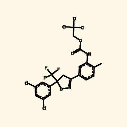 Cc1ccc(C2=NOC(c3cc(Cl)cc(Cl)c3)(C(F)(F)F)C2)cc1NC(=O)OCC(Cl)(Cl)Cl